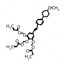 C=CC(=O)OCOc1cc(C#Cc2ccc(C3CCC(OC)CC3)cc2)cc(OCOC(=O)C=C)c1OCOC(=O)C=C